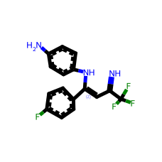 N=C(/C=C(\Nc1ccc(N)cc1)c1ccc(F)cc1)C(F)(F)F